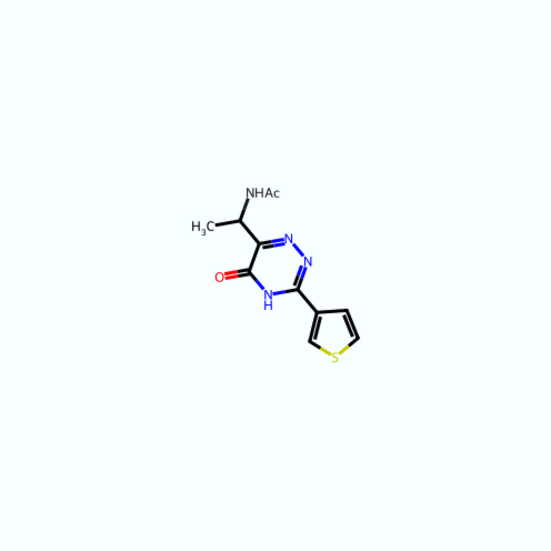 CC(=O)NC(C)c1nnc(-c2ccsc2)[nH]c1=O